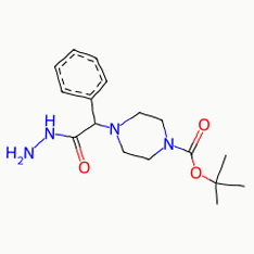 CC(C)(C)OC(=O)N1CCN(C(C(=O)NN)c2ccccc2)CC1